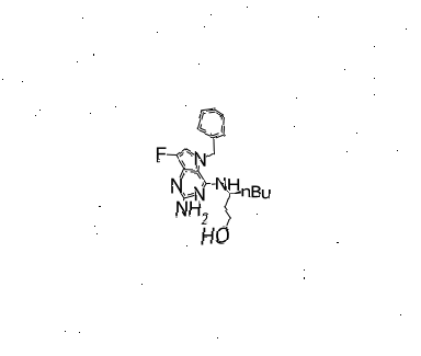 CCCC[C@@H](CCO)Nc1nc(N)nc2c(F)cn(Cc3ccccc3)c12